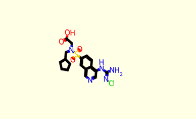 NC(=NCl)Nc1cncc2cc(S(=O)(=O)N(CC(=O)O)CC3CCCC3)ccc12